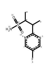 CC(c1ncc(F)cn1)C(C)S(N)(=O)=O